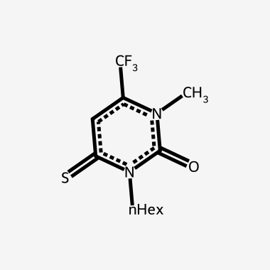 CCCCCCn1c(=S)cc(C(F)(F)F)n(C)c1=O